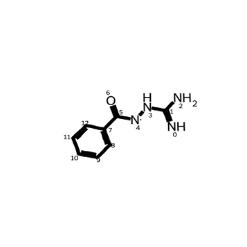 N=C(N)N[N]C(=O)c1ccccc1